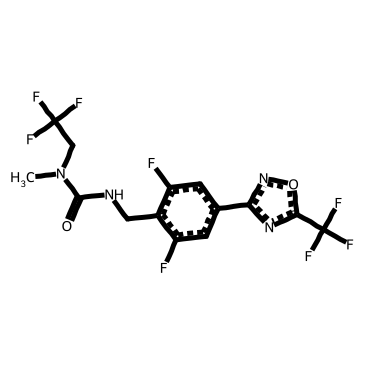 CN(CC(F)(F)F)C(=O)NCc1c(F)cc(-c2noc(C(F)(F)F)n2)cc1F